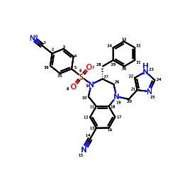 N#Cc1ccc(S(=O)(=O)N2Cc3cc(C#N)ccc3N(Cc3c[nH]cn3)C[C@H]2Cc2ccccc2)cc1